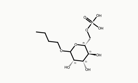 CCCCOC1O[C@H](COP(=O)(O)O)[C@@H](O)[C@H](O)[C@@H]1O